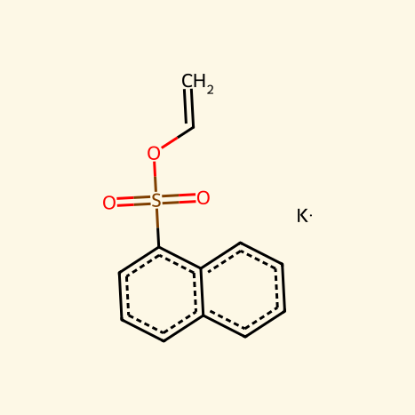 C=COS(=O)(=O)c1cccc2ccccc12.[K]